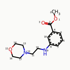 COC(=O)c1cccc(NCCN2CCOCC2)c1